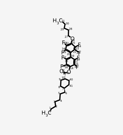 CCCCCCC[C@H]1CC[C@H](C(=O)Oc2c(F)c(F)c(-c3c(F)c(F)c(OCCCCC)c(F)c3F)c(F)c2F)CC1